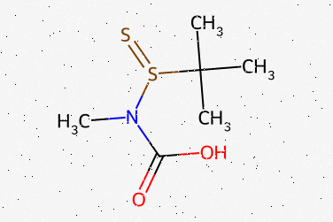 CN(C(=O)O)S(=S)C(C)(C)C